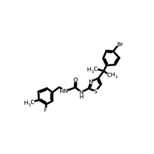 Cc1ccc(CNC(=O)Nc2nc(C(C)(C)c3ccc(Br)cc3)cs2)cc1F